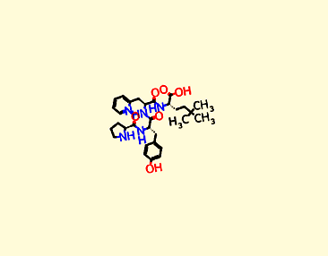 CC(C)(C)CC[C@H](NC(=O)[C@H](Cc1ccccn1)NC(=O)[C@H](Cc1ccc(O)cc1)NC(=O)[C@@H]1CCCN1)C(=O)O